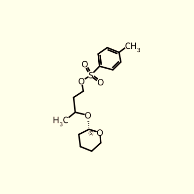 Cc1ccc(S(=O)(=O)OCCC(C)O[C@H]2CCCCO2)cc1